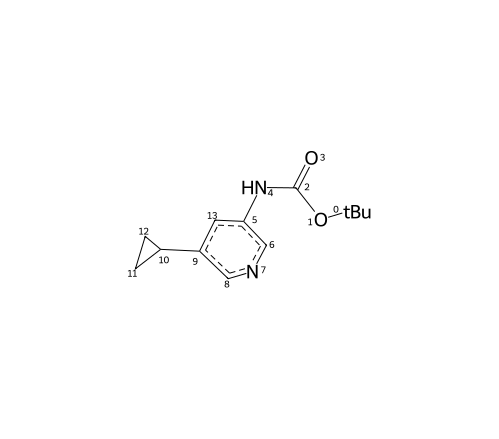 CC(C)(C)OC(=O)Nc1cncc(C2CC2)c1